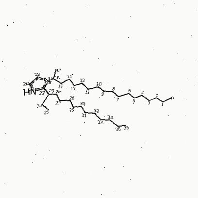 CCCCCCCCCCCCCCCCC(C)[n+]1cc[nH]c1C(CC)CCCCCCCCCCC